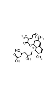 CC(CCO)C(=O)O[C@H]1C[C@@H](C)C=C2C=C[C@H](C)[C@H](CC[C@@H](O)C[C@@H](O)CC(=O)O)[C@H]21